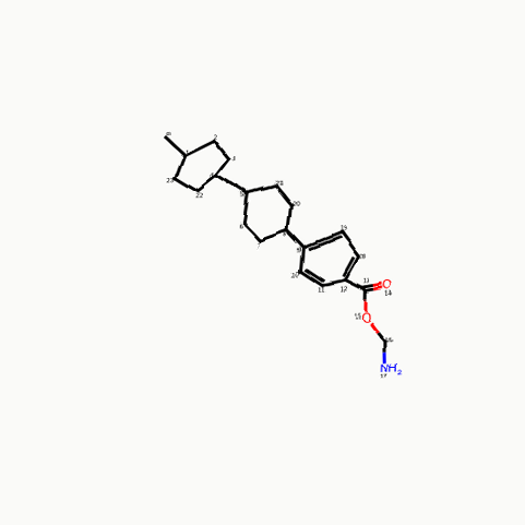 CC1CCC(C2CCC(c3ccc(C(=O)OCN)cc3)CC2)CC1